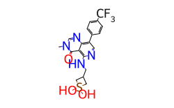 Cn1cnc2c(-c3ccc(C(F)(F)F)cc3)cnc(NCC3CS(O)(O)C3)c2c1=O